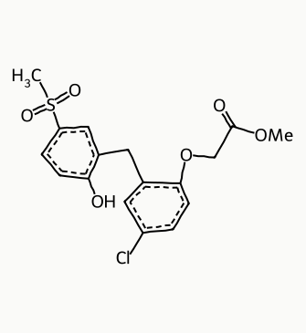 COC(=O)COc1ccc(Cl)cc1Cc1cc(S(C)(=O)=O)ccc1O